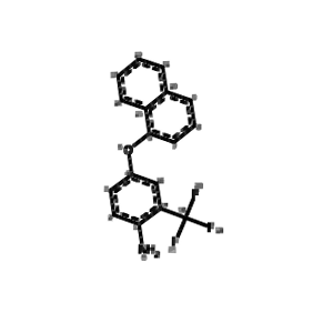 Nc1ccc(Oc2cccc3ccccc23)cc1C(F)(F)F